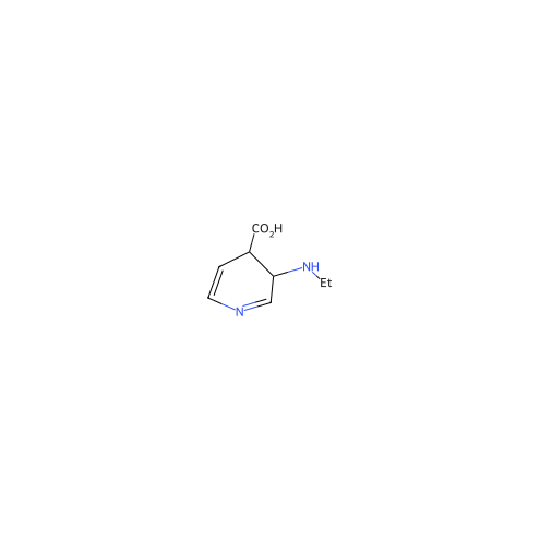 CCNC1C=NC=CC1C(=O)O